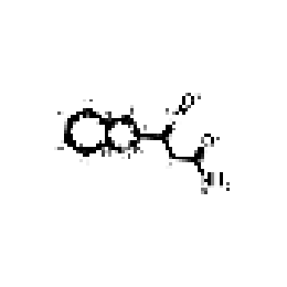 NC(=O)CC(=C=O)c1cc2ccccc2s1